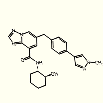 Cn1cc(-c2ccc(Cc3cc(C(=O)N[C@H]4CCCC[C@@H]4O)c4ncnn4c3)cc2)cn1